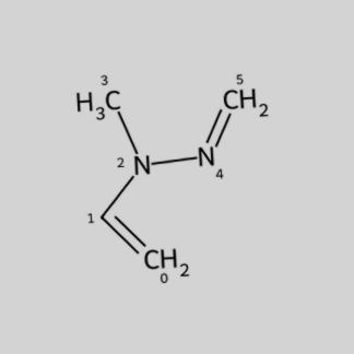 C=CN(C)N=C